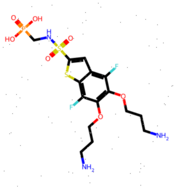 NCCCOc1c(OCCCN)c(F)c2sc(S(=O)(=O)NCP(=O)(O)O)cc2c1F